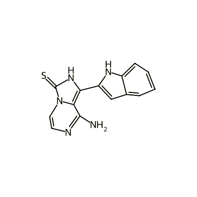 Nc1nccn2c(=S)[nH]c(-c3cc4ccccc4[nH]3)c12